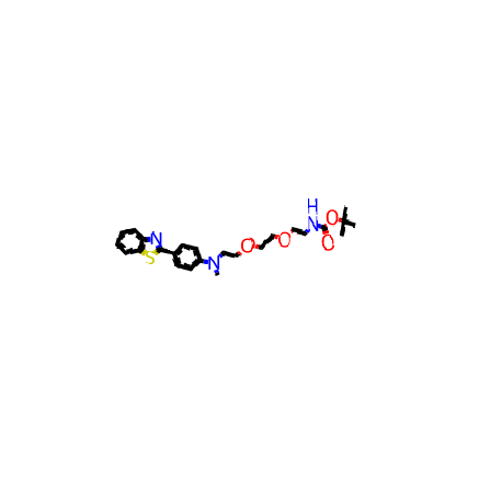 CN(CCOCCOCCNC(=O)OC(C)(C)C)c1ccc(-c2nc3ccccc3s2)cc1